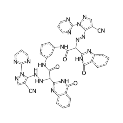 N#Cc1cnn(-c2ncccn2)c1N=NC(C(=O)Nc1cccc(NC(=O)C(NNc2c(C#N)cnn2-c2ncccn2)c2nc3ccccc3c(=O)[nH]2)c1)c1nc2ccccc2c(=O)[nH]1